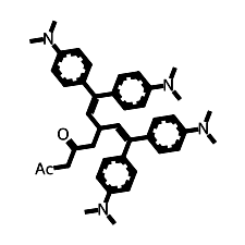 CC(=O)CC(=O)CC(C=C(c1ccc(N(C)C)cc1)c1ccc(N(C)C)cc1)C=C(c1ccc(N(C)C)cc1)c1ccc(N(C)C)cc1